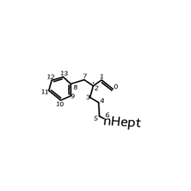 C=C[C](CCCCCCCCCC)Cc1ccccc1